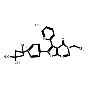 CC1(O)CC(N)(c2ccc(-c3oc4ncn(CC(F)(F)F)c(=O)c4c3-c3ccccn3)cc2)C1.Cl